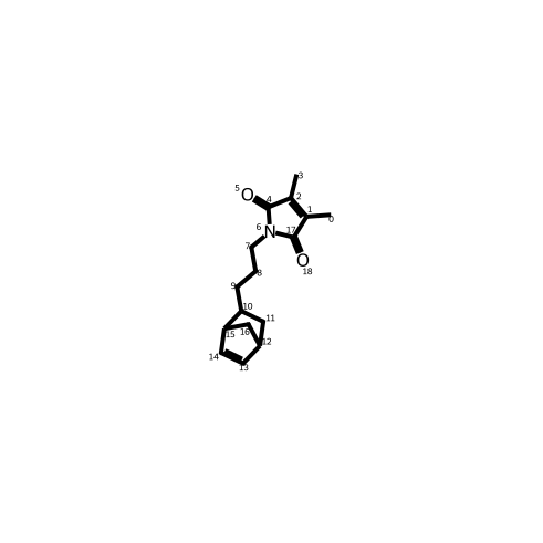 CC1=C(C)C(=O)N(CCCC2CC3C=CC2C3)C1=O